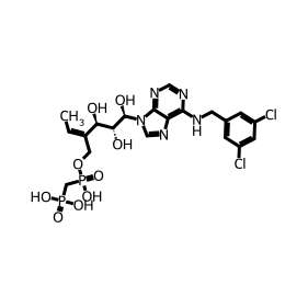 C/C=C(/COP(=O)(O)CP(=O)(O)O)[C@@H](O)[C@@H](O)[C@@H](O)n1cnc2c(NCc3cc(Cl)cc(Cl)c3)ncnc21